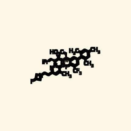 Cc1cc(C)c(-c2cc([C@H](CC(=O)O)NC(=O)[C@H](CC(C)C)n3nc(CCN4CC(F)C4)cc(C)c3=O)c(F)c(C(F)(F)F)c2)c(C)c1